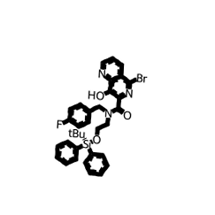 CC(C)(C)[Si](OCCN(Cc1ccc(F)cc1)C(=O)c1nc(Br)c2cccnc2c1O)(c1ccccc1)c1ccccc1